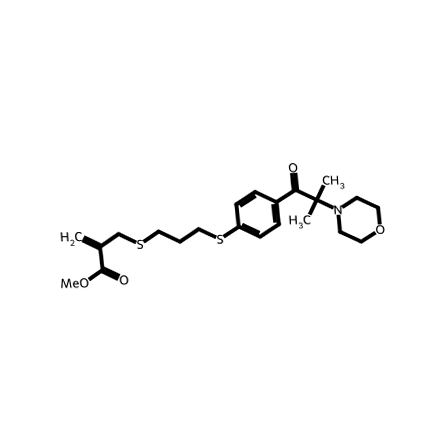 C=C(CSCCCSc1ccc(C(=O)C(C)(C)N2CCOCC2)cc1)C(=O)OC